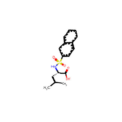 CC(C)C[C@H](NS(=O)(=O)c1ccc2ccccc2c1)C(=O)O